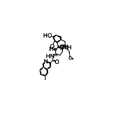 Cc1ccc2cnc(C(=O)N[C@H]3CC[C@@]4(O)[C@H]5Cc6ccc(O)c7c6[C@@]4(CCN5CC4CC4)[C@H]3O7)cc2c1